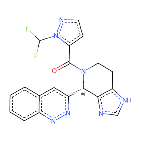 O=C(c1ccnn1C(F)F)N1CCc2[nH]cnc2[C@@H]1c1cc2ccccc2nn1